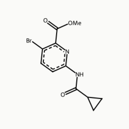 COC(=O)c1nc(NC(=O)C2CC2)ccc1Br